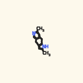 Cc1cc2c(cn1)Cc1cc(C)[nH]c1C2